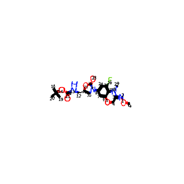 CON=C1COc2cc(N3C[C@H](CNC(=O)OC(C)(C)C)OC3=O)cc(F)c2N1C